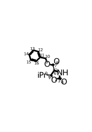 CC(C)[C@@H]1OC(=O)N[C@@H]1C(=O)OCc1ccccc1